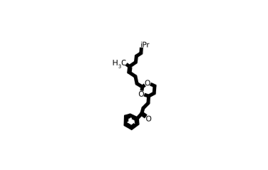 CC(=CCCC1OCCC(CCC(=O)c2ccccc2)O1)CCCC(C)C